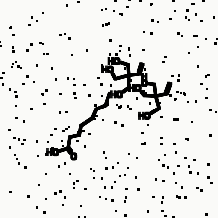 C=CC(CO)(CO)CO.C=CC(CO)(CO)CO.CCCCCCCC(=O)O